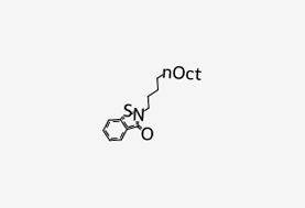 CCCCCCCCCCCCn1sc2ccccc2c1=O